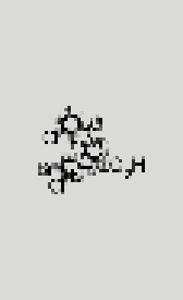 O=C(c1cccc(Cl)c1F)N1CCC(Cc2ccc(Br)c(Cl)n2)(C(=O)O)CC1